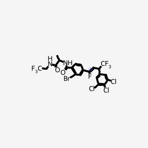 CC(NC(=O)c1ccc(/C(F)=C/C(c2cc(Cl)c(Cl)c(Cl)c2)C(F)(F)F)cc1Br)C(=O)NCC(F)(F)F